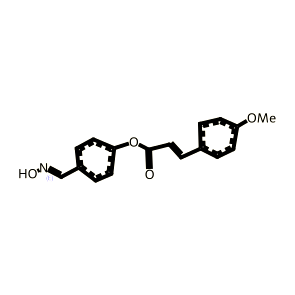 COc1ccc(C=CC(=O)Oc2ccc(/C=N/O)cc2)cc1